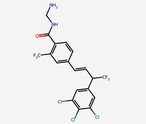 NCNC(=O)c1ccc(/C=C/C(c2cc(Cl)c(Cl)c(Cl)c2)C(F)(F)F)cc1C(F)(F)F